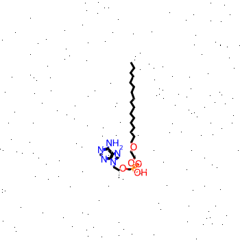 CCCCCCCCCCCCCCCCCOCCOP(=O)(O)CO[C@H](C)Cn1cnc2c(N)ncnc21